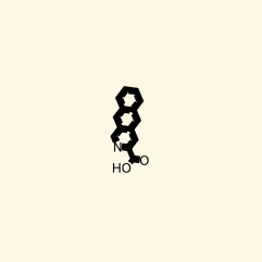 O=C(O)c1cc2cc3ccccc3cc2cn1